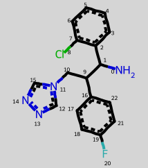 NC(c1ccccc1Cl)C(Cn1cnnc1)c1ccc(F)cc1